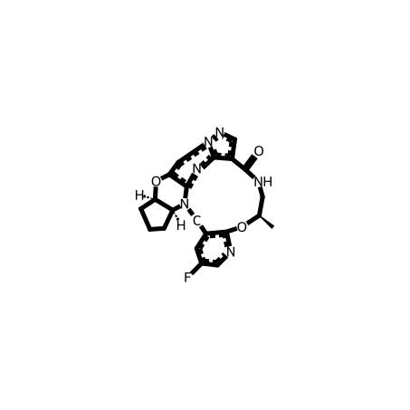 C[C@@H]1CNC(=O)c2cnn3cc4c(nc23)N(Cc2cc(F)cnc2O1)[C@H]1CCC[C@H]1O4